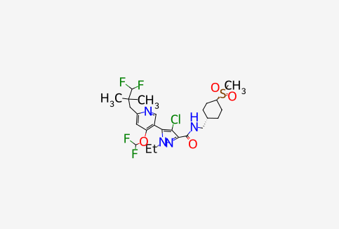 CCn1nc(C(=O)NC[C@H]2CC[C@H](S(C)(=O)=O)CC2)c(Cl)c1-c1cnc(CC(C)(C)C(F)F)cc1OC(F)F